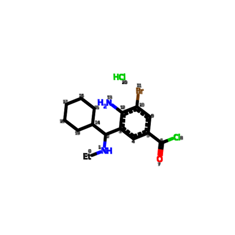 CCNC(c1cc(C(=O)Cl)cc(Br)c1N)C1CCCCC1.Cl